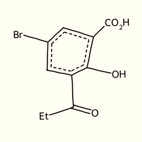 CCC(=O)c1cc(Br)cc(C(=O)O)c1O